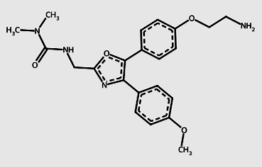 COc1ccc(-c2nc(CNC(=O)N(C)C)oc2-c2ccc(OCCN)cc2)cc1